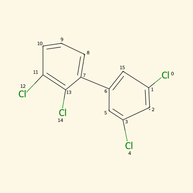 Clc1[c]c(Cl)cc(-c2cccc(Cl)c2Cl)c1